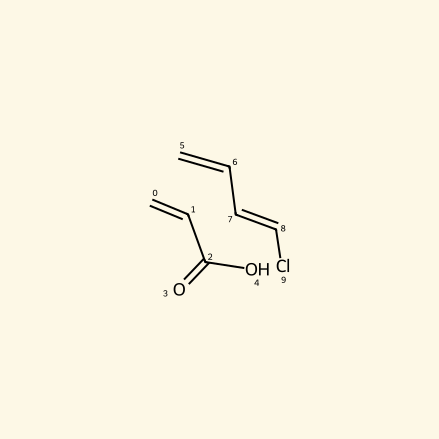 C=CC(=O)O.C=CC=CCl